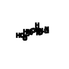 O=C(O)CCc1cc2cc(Nc3nccc(-c4cccnc4)n3)ccc2[nH]1